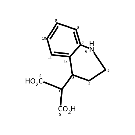 O=C(O)C(C(=O)O)C1CCNc2ccccc21